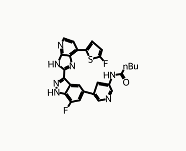 CCCCC(=O)Nc1cncc(-c2cc(F)c3[nH]nc(-c4nc5c(-c6ccc(F)s6)ccnc5[nH]4)c3c2)c1